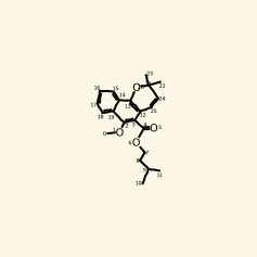 COc1c(C(=O)OCCC(C)C)c2c(c3ccccc13)OC(C)(C)C=C2